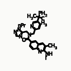 CCCn1ncnc1CN(Cc1ccc(C(C)(C)P)cn1)C(=O)c1ccc2nc(NI)c(C)cc2c1